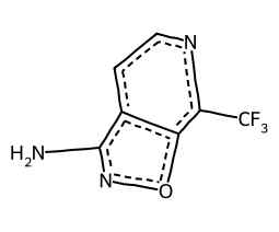 Nc1noc2c(C(F)(F)F)nccc12